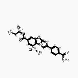 CNC(=O)c1ccc(-c2cn3c(n2)sc2cc(C(=O)N[C@@H](C)CN)ccc23)cc1.O=CO